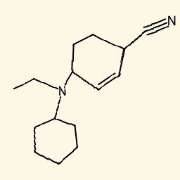 CCN(C1C=CC(C#N)CC1)C1CCCCC1